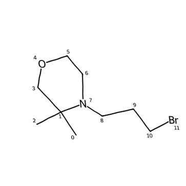 CC1(C)COCCN1CCCBr